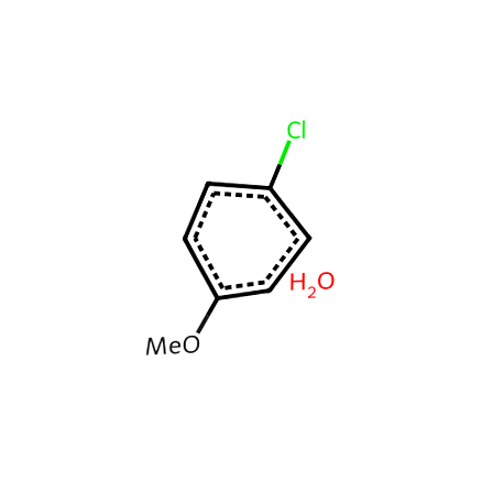 COc1ccc(Cl)cc1.O